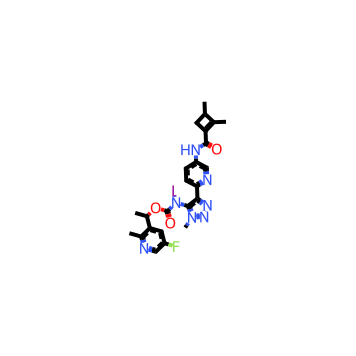 CC1=C(C(=O)Nc2ccc(-c3nnn(C)c3N(I)C(=O)OC(C)c3cc(F)cnc3C)nc2)CC1C